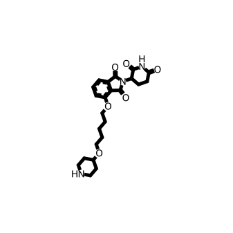 O=C1CCC(N2C(=O)c3cccc(OCCCCCOC4CCNCC4)c3C2=O)C(=O)N1